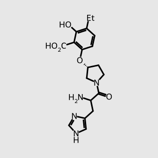 CCc1ccc(O[C@@H]2CCN(C(=O)C(N)Cc3c[nH]cn3)C2)c(C(=O)O)c1O